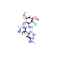 COc1cc(OC)c(Cl)c(Nc2ncncc2-c2cc(N)ncn2)c1C